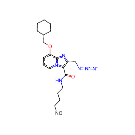 [N-]=[N+]=NCc1nc2c(OCC3CCCCC3)cccn2c1C(=O)NCCCCN=O